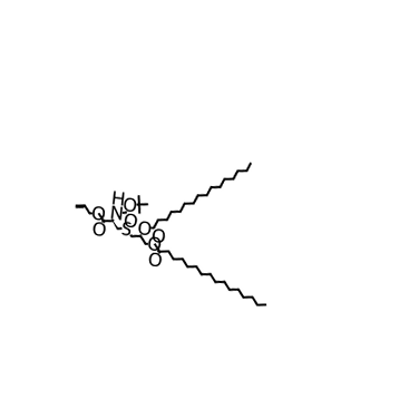 C=CCOC(=O)[C@H](CSCC(COC(=O)CCCCCCCCCCCCCCC)OC(=O)CCCCCCCCCCCCCCC)NC(=O)OC(C)(C)C